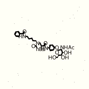 CCCCC(=O)N(CCCCCNC(=O)c1ccccc1)CCC(=O)Nc1ccc(O[C@@H]2O[C@H](CO)[C@H](O)[C@H](O)[C@H]2NC(C)=O)cc1